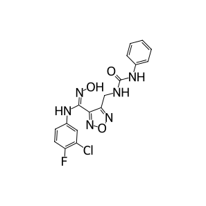 O=C(NCc1nonc1/C(=N\O)Nc1ccc(F)c(Cl)c1)Nc1ccccc1